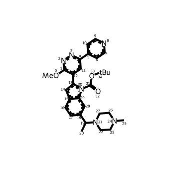 COc1nnc(-c2ccncc2)cc1-c1cc2ccc(C(C)N3CCN(C)CC3)cc2n1C(=O)OC(C)(C)C